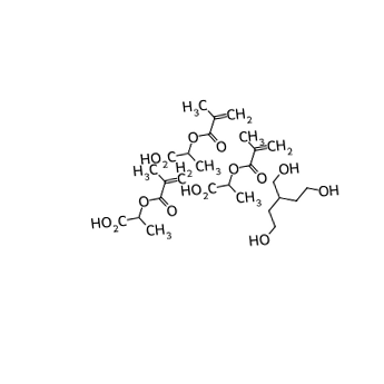 C=C(C)C(=O)OC(C)C(=O)O.C=C(C)C(=O)OC(C)C(=O)O.C=C(C)C(=O)OC(C)C(=O)O.OCCC(CO)CCO